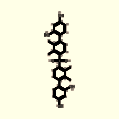 Cc1c(-c2ccc(O)cc2O)ccc(S(=O)(=O)c2ccc(-c3ccc(O)cc3O)c(C)c2C)c1C